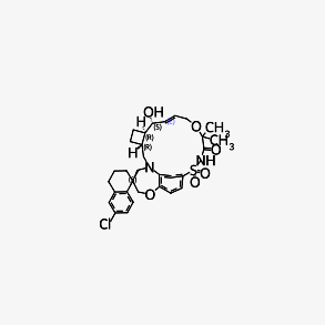 CC1(C)OC/C=C/[C@@H](O)[C@@H]2CC[C@H]2CN2C[C@@]3(CCCc4cc(Cl)ccc43)COc3ccc(cc32)S(=O)(=O)NC1=O